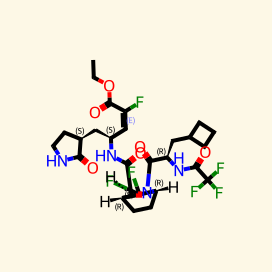 CCOC(=O)/C(F)=C\[C@H](C[C@@H]1CCNC1=O)NC(=O)[C@@H]1[C@H]2CC[C@H](CC2(F)F)N1C(=O)[C@@H](CC1CCC1)NC(=O)C(F)(F)F